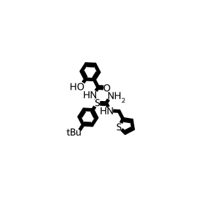 CC(C)(C)c1ccc(S(NC(=O)c2ccccc2O)=C(N)NCc2cccs2)cc1